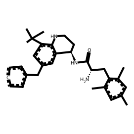 Cc1cc(C)c(C[C@H](N)C(=O)N[C@@H]2CCNc3c2cc(Cc2ccccc2)cc3C(C)(C)C)c(C)c1